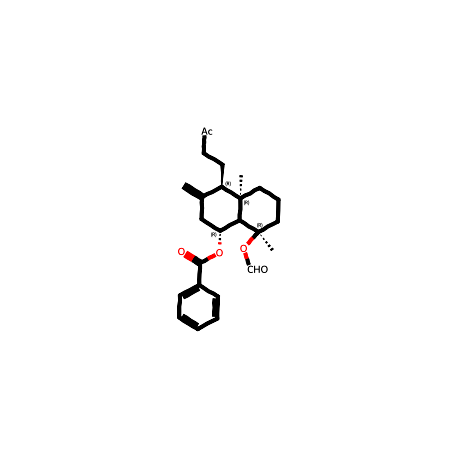 C=C1C[C@@H](OC(=O)c2ccccc2)C2[C@](C)(OC=O)CCC[C@]2(C)[C@@H]1CCC(C)=O